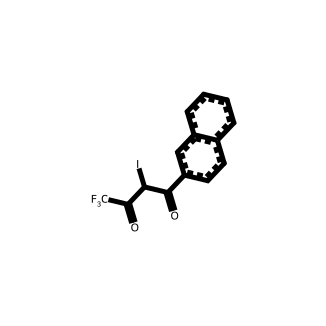 O=C(c1ccc2ccccc2c1)C(I)C(=O)C(F)(F)F